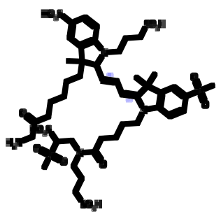 CC1(C)/C(=C\C=C\C2N(CCCS(=O)(=O)O)c3ccc(S(=O)(=O)O)cc3C2(C)CCCCCC(=O)CN)N(CCCCC(=O)N(CCCS(=O)(=O)O)CC(S(C)(=O)=O)S(=O)(=O)O)c2ccc(S(C)(=O)=O)cc21